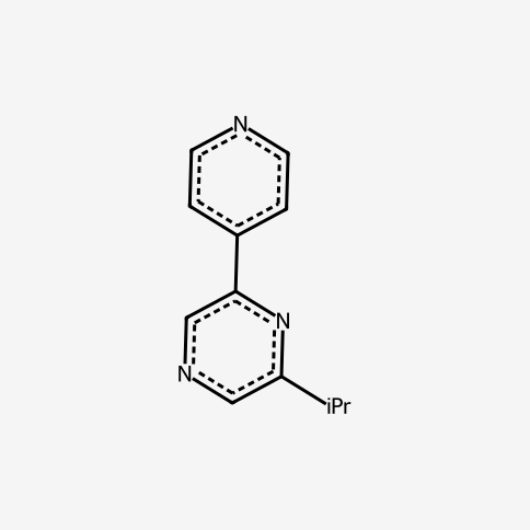 CC(C)c1cncc(-c2ccncc2)n1